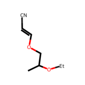 CCOC(C)COC=CC#N